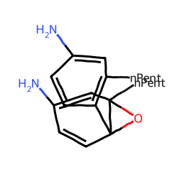 CCCCCc1cc(N)ccc1C12C=CC(N)=CC1(CCCCC)O2